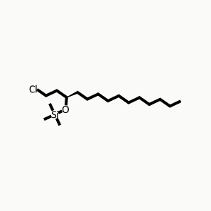 CCCCCCCCCCC[C@H](CCCl)O[Si](C)(C)C